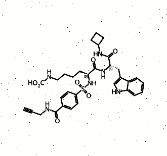 C#CCNC(=O)c1ccc(S(=O)(=O)N[C@@H](CCCCNC(=O)O)C(=O)N[C@@H](Cc2c[nH]c3ccccc23)C(=O)NC2CCC2)cc1